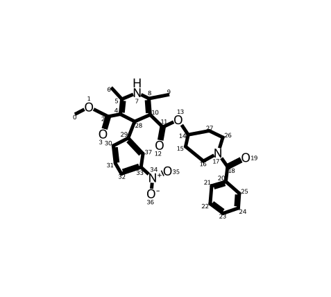 COC(=O)C1=C(C)NC(C)=C(C(=O)OC2CCN(C(=O)c3ccccc3)CC2)C1c1cccc([N+](=O)[O-])c1